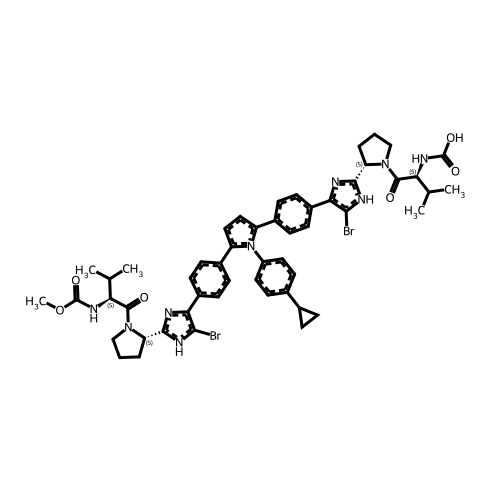 COC(=O)N[C@H](C(=O)N1CCC[C@H]1c1nc(-c2ccc(-c3ccc(-c4ccc(-c5nc([C@@H]6CCCN6C(=O)[C@@H](NC(=O)O)C(C)C)[nH]c5Br)cc4)n3-c3ccc(C4CC4)cc3)cc2)c(Br)[nH]1)C(C)C